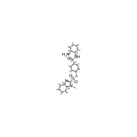 Cn1c(S(=O)(=O)Cc2ccc(C(=O)Nc3ccccc3N)cc2)nc2ccccc21